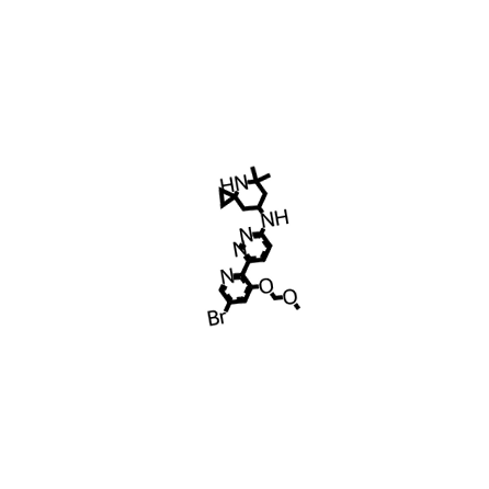 COCOc1cc(Br)cnc1-c1ccc(NC2CC(C)(C)NC3(CC3)C2)nn1